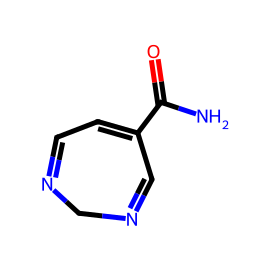 NC(=O)C1=CC=NCN=C1